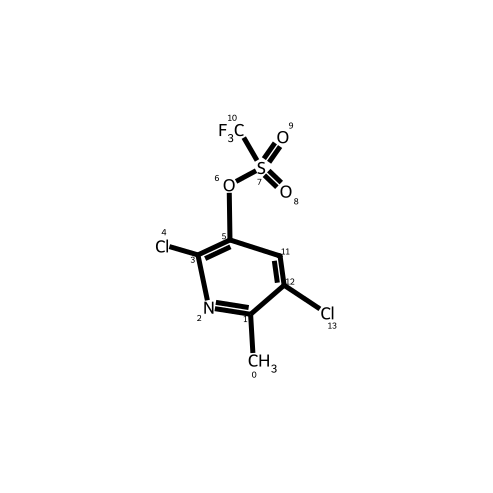 Cc1nc(Cl)c(OS(=O)(=O)C(F)(F)F)cc1Cl